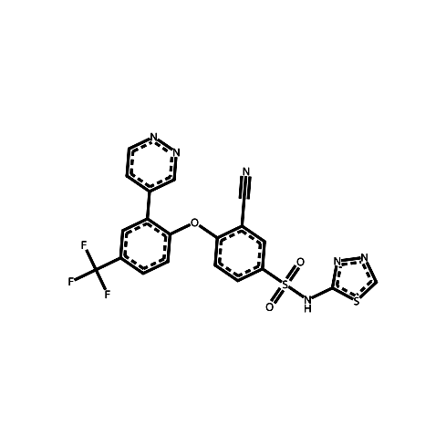 N#Cc1cc(S(=O)(=O)Nc2nncs2)ccc1Oc1ccc(C(F)(F)F)cc1-c1ccnnc1